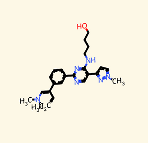 C=C/C(=C\N(C)C)c1cccc(-c2ncc(-c3ccn(C)n3)c(NCCCCO)n2)c1